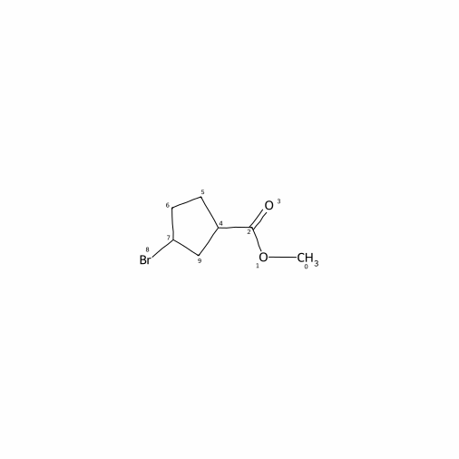 COC(=O)C1CCC(Br)C1